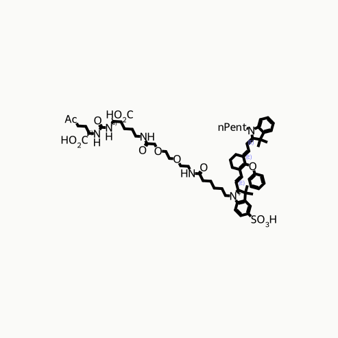 CCCCCN1/C(=C/C=C2\CCCC(/C=C/C3=[N+](CCCCCC(=O)NCCOCCOCC(=O)NCCCC[C@H](NC(=O)N[C@@H](CCC(C)=O)C(=O)O)C(=O)O)c4ccc(S(=O)(=O)O)cc4C3(C)C)=C2Oc2ccccc2)C(C)(C)c2ccccc21